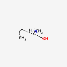 CCCCC/C=C\C/C=C\CCCCCCCCCC(CCCCCCCCCO)CCN(C)C